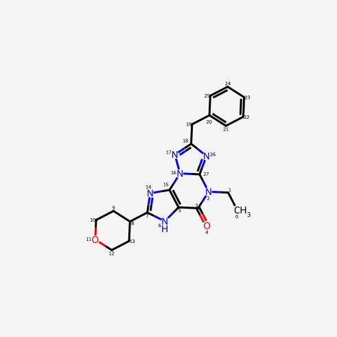 CCn1c(=O)c2[nH]c(C3CCOCC3)nc2n2nc(Cc3ccccc3)nc12